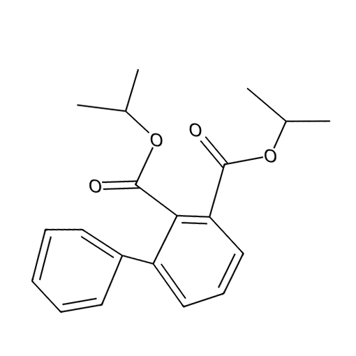 CC(C)OC(=O)c1cccc(-c2ccccc2)c1C(=O)OC(C)C